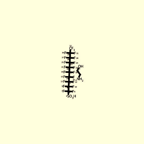 NCCO.O=S(=O)(O)C(F)(F)C(F)(F)C(F)(F)C(F)(F)C(F)(F)C(F)(F)C(F)(F)C(F)(F)C(F)(F)C(F)(F)F